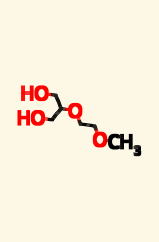 COCCOC(CO)CO